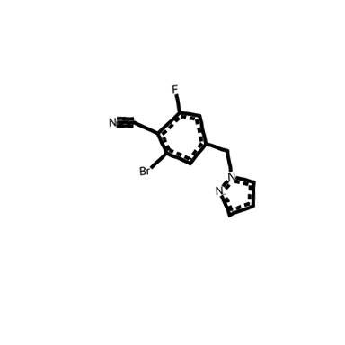 N#Cc1c(F)cc(Cn2cccn2)cc1Br